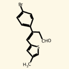 Cc1csc(C=C(CC=O)c2ccc(Br)cc2)c1